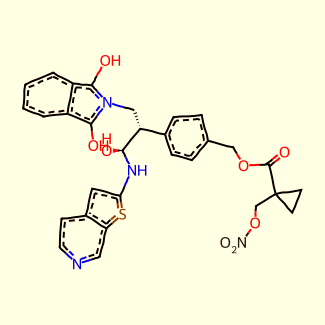 O=C(OCc1ccc([C@@H](Cn2c(O)c3ccccc3c2O)[C@H](O)Nc2cc3ccncc3s2)cc1)C1(CO[N+](=O)[O-])CC1